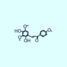 COc1ccc(C(=O)C=Cc2cc(OC)c(O)c(OC)c2O)cc1